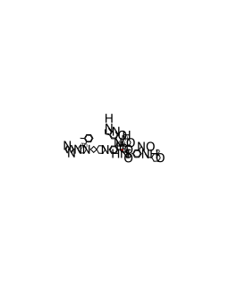 Cc1ccccc1[C@@H]1CN(c2cnccn2)CCN1C1CC2(CCN(c3ccc(C(=O)NS(=O)(=O)c4ccc(NCC5CCOCC5)c([N+](=O)[O-])c4)c(N4c5cc6cc[nH]c6nc5O[C@H]5COCC[C@@H]54)c3)CC2)C1